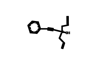 C=CC[Si](O)(C#Cc1ccccc1)CC=C